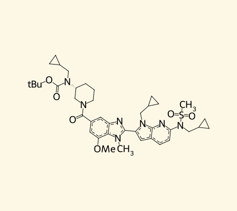 COc1cc(C(=O)N2CCC[C@@H](N(CC3CC3)C(=O)OC(C)(C)C)C2)cc2nc(-c3cc4ccc(N(CC5CC5)S(C)(=O)=O)nc4n3CC3CC3)n(C)c12